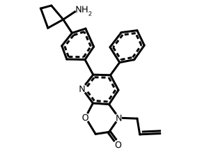 C=CCN1C(=O)COc2nc(-c3ccc(C4(N)CCC4)cc3)c(-c3ccccc3)cc21